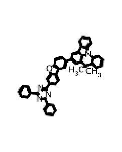 CC1(C)c2ccccc2-n2c3ccccc3c3cc(-c4ccc5oc6cc(-c7nc(-c8ccccc8)nc(-c8ccccc8)n7)ccc6c5c4)cc1c32